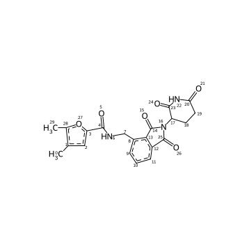 Cc1cc(C(=O)NCc2cccc3c2C(=O)N(C2CCC(=O)NC2=O)C3=O)oc1C